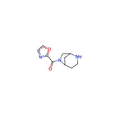 O=C(c1ncco1)N1CC2CC1CCN2